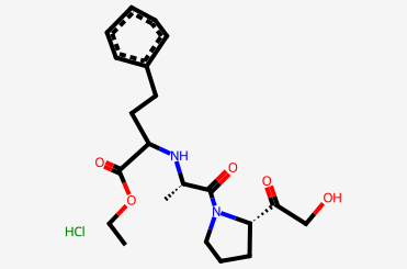 CCOC(=O)C(CCc1ccccc1)N[C@@H](C)C(=O)N1CCC[C@H]1C(=O)CO.Cl